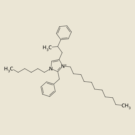 CCCCCCCCCCC[n+]1c(CC(C)c2ccccc2)cn(CCCCCC)c1Cc1ccccc1